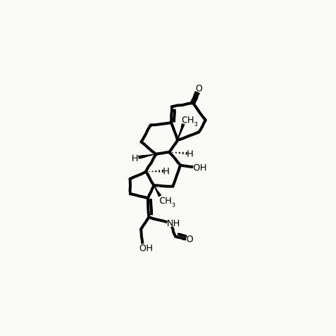 C[C@]12CCC(=O)C=C1CC[C@@H]1[C@@H]2C(O)C[C@]2(C)C(=C(CO)NC=O)CC[C@@H]12